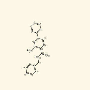 Nc1nc(-c2ccccc2)ncc1C(=O)NCc1ccncc1